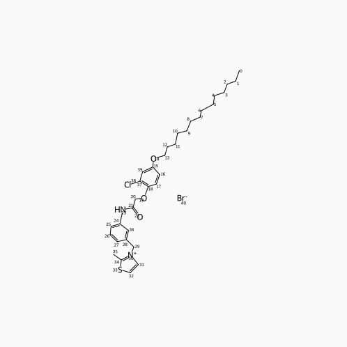 CCCCCCCCCCCCCCOc1ccc(OCC(=O)Nc2cccc(C[n+]3ccsc3C)c2)c(Cl)c1.[Br-]